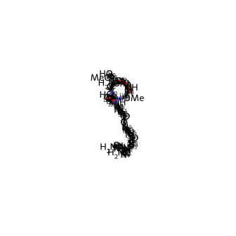 CO[C@H]1C[C@@H]2CC[C@@H](C)[C@@](O)(O2)C(=O)C(=O)N2CCCC[C@H]2C(=O)O[C@H]([C@H](N)C[C@@H]2CC[C@@H](O)[C@H](OC)C2)CC(=O)[C@H](C)/C=C(\C)[C@H]2OC(C(=O)NCc3cnc(N4CCN(C(=O)CCOCCN5CCN(c6ncc(C(=O)N7CCc8cc(Cn9nc(-c%10ccc%11oc(N)nc%11c%10)c%10c(N)ncnc%109)ccc8C7)cn6)CC5)CC4)nc3)(/C=C/C=C/1C)/C=C/[C@@H](C)C[C@@H](C)C(=O)[C@@H]2O